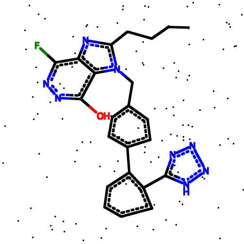 CCCCc1nc2c(F)nnc(O)c2n1Cc1ccc(-c2ccccc2-c2nnn[nH]2)cc1